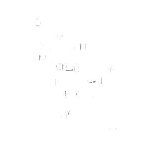 CCC1O[C@@H]2C[C@H]3[C@@H]4C[C@H](Cl)C5=CC(=O)CC[C@]5(C)[C@H]4[C@@H](O)C[C@]3(C)[C@]2(C2(C#N)CO2)O1